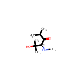 CN[C@H](C(=O)C(C)C)C(C)(C)O